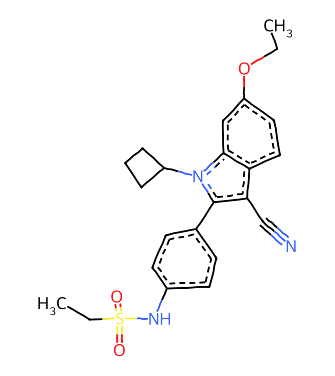 CCOc1ccc2c(C#N)c(-c3ccc(NS(=O)(=O)CC)cc3)n(C3CCC3)c2c1